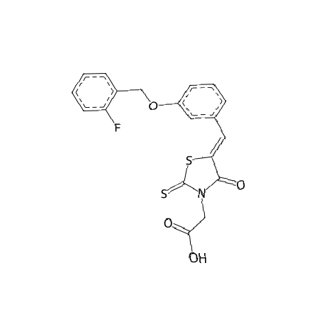 O=C(O)CN1C(=O)C(=Cc2cccc(OCc3ccccc3F)c2)SC1=S